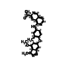 COc1cc(Oc2ccc(Nc3ncnc4cnc([S+](C)[O-])nc34)cc2C)cc2nnn(C)c12